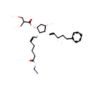 CCNC(=O)CCC/C=C\C[C@@H]1[C@@H](/C=C/[C@@H](O)CCc2ccccc2)[C@H](O)C[C@@H]1OC(=O)C(CO)CO